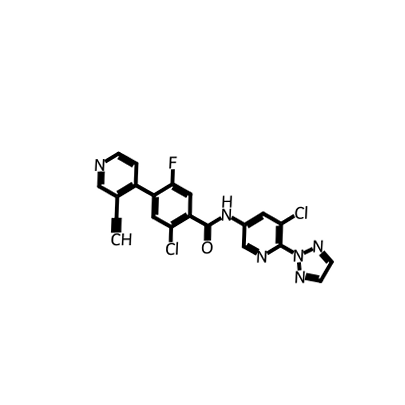 C#Cc1cnccc1-c1cc(Cl)c(C(=O)Nc2cnc(-n3nccn3)c(Cl)c2)cc1F